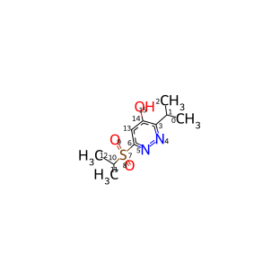 CC(C)c1nnc(S(=O)(=O)C(C)C)cc1O